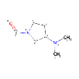 CN(C)C1CCN([C]=O)C1